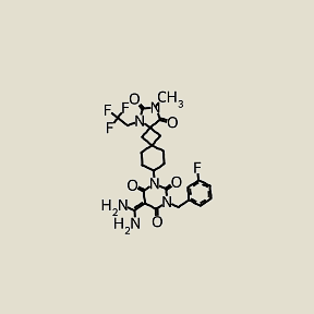 CN1C(=O)N(CC(F)(F)F)C2(CC3(CCC(N4C(=O)C(=C(N)N)C(=O)N(Cc5cccc(F)c5)C4=O)CC3)C2)C1=O